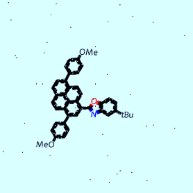 COc1ccc(-c2ccc3ccc4c(-c5ccc(OC)cc5)cc(-c5nc6cc(C(C)(C)C)ccc6o5)c5ccc2c3c45)cc1